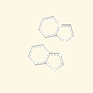 c1ccc2[nH]cnc2c1.c1ccn2ccnc2c1